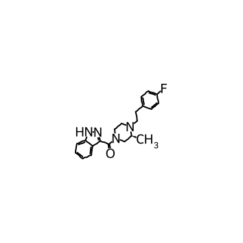 C[C@H]1CN(C(=O)c2n[nH]c3ccccc23)CCN1CCc1ccc(F)cc1